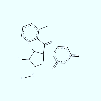 Cc1ccccc1C(=O)[C@@]1(n2ccc(=O)[nH]c2=O)O[C@H](CO)[C@@H](O)[C@H]1O